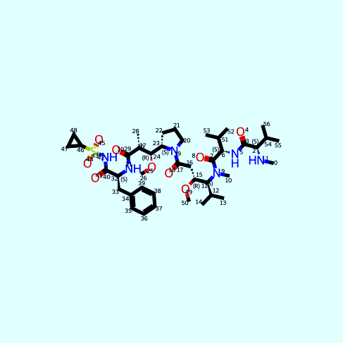 CN[C@H](C(=O)N[C@H](C(=O)N(C)[C@@H](C(C)C)[C@@H](CC(=O)N1CCC[C@H]1[C@H](OC)[C@@H](C)C(=O)N[C@@H](Cc1ccccc1)C(=O)NS(=O)(=O)C1CC1)OC)C(C)C)C(C)C